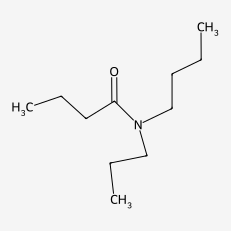 CCCCN(CCC)C(=O)CCC